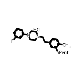 CCCCCc1cc(CCN2CCN(c3cccc(F)c3)CC2)ccc1C.Cl